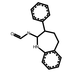 O=C[N]C1Nc2ccccc2CCC1c1ccccc1